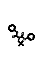 CC(C)(C)CN(C(=O)Oc1ccccc1)C(=O)Oc1ccccc1